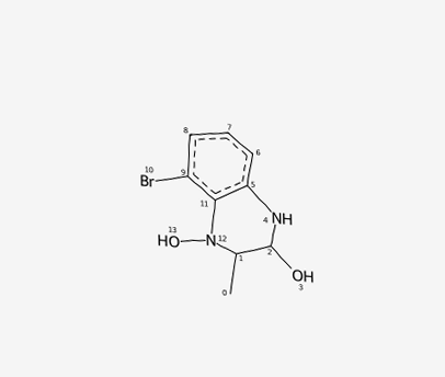 CC1C(O)Nc2cccc(Br)c2N1O